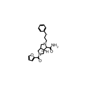 NC(=O)C1[C@@H]2CN(C(=O)c3ccco3)CC2CN1CC[CH]c1ccccc1